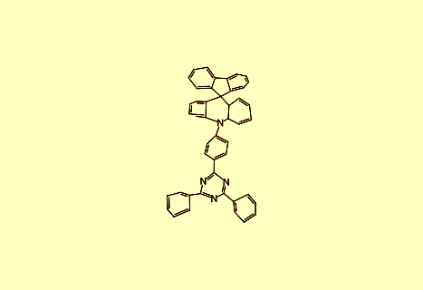 C1=CC2C(C=C1)C1(c3ccccc3-c3ccccc31)c1ccccc1N2c1ccc(-c2nc(-c3ccccc3)nc(-c3ccccc3)n2)cc1